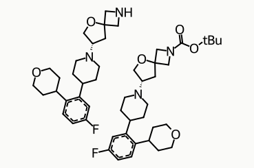 CC(C)(C)OC(=O)N1CC2(C[C@H](N3CCC(c4cc(F)ccc4C4CCOCC4)CC3)CO2)C1.Fc1ccc(C2CCOCC2)c(C2CCN([C@@H]3COC4(CNC4)C3)CC2)c1